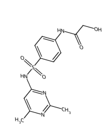 Cc1cc(NS(=O)(=O)c2ccc(NC(=O)CO)cc2)nc(C)n1